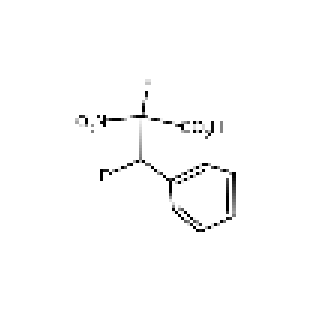 O=C(O)C(F)(C(F)c1ccccc1)[N+](=O)[O-]